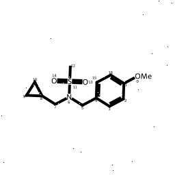 COc1ccc(CN(CC2CC2)S(C)(=O)=O)cc1